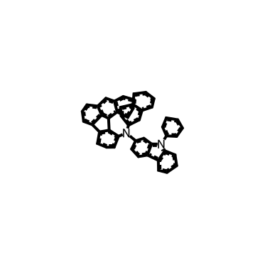 c1ccc(-n2c3ccccc3c3ccc(N(c4ccc5ccccc5c4)c4cccc5c4-c4c6ccccc6cc6cccc-5c46)cc32)cc1